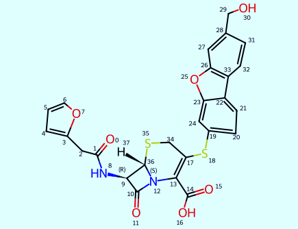 O=C(Cc1ccco1)N[C@@H]1C(=O)N2C(C(=O)O)=C(Sc3ccc4c(c3)oc3cc(CO)ccc34)CS[C@@H]12